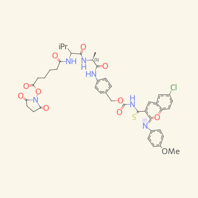 COc1ccc(/N=c2\oc3ccc(Cl)cc3cc2C(=S)NC(=O)OCc2ccc(NC(=O)[C@H](C)NC(=O)C(NC(=O)CCCCC(=O)ON3C(=O)CCC3=O)C(C)C)cc2)cc1